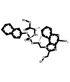 CCOCc1nc2c(N)nc3ccccc3c2n1C[C@@H](C)O[P@@](=O)(N[C@@H](C)C(=O)OC(C)C)Oc1ccc2ccccc2c1